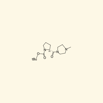 CN1CCN(C(=O)[C@H]2CCCN2C(=O)OC(C)(C)C)CC1